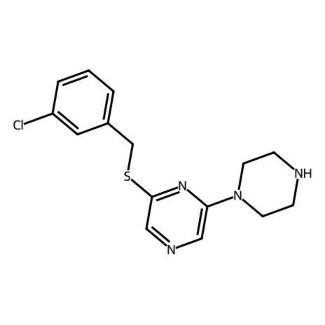 Clc1cccc(CSc2cncc(N3CCNCC3)n2)c1